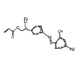 C=CC(=O)OCN(CC)c1ccc(/N=N/c2ccc([N+](=O)[O-])cc2C#N)cc1